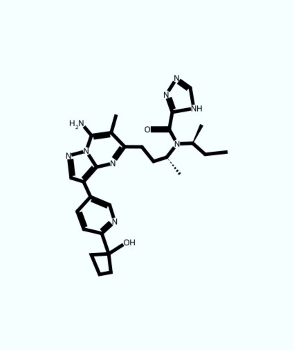 CC[C@H](C)N(C(=O)c1nnc[nH]1)[C@H](C)CCc1nc2c(-c3ccc(C4(O)CCC4)nc3)cnn2c(N)c1C